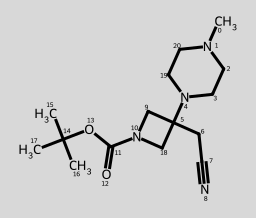 CN1CCN(C2(CC#N)CN(C(=O)OC(C)(C)C)C2)CC1